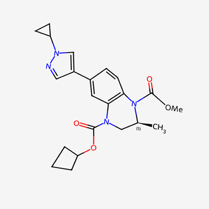 COC(=O)N1c2ccc(-c3cnn(C4CC4)c3)cc2N(C(=O)OC2CCC2)C[C@@H]1C